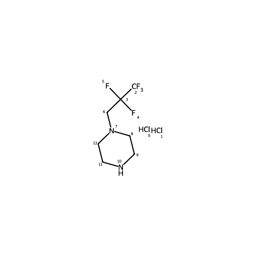 Cl.Cl.FC(F)(F)C(F)(F)CN1CCNCC1